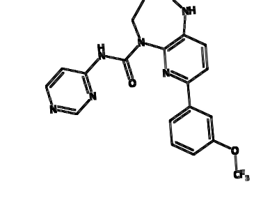 O=C(Nc1ccncn1)N1CCCNc2ccc(-c3cccc(OC(F)(F)F)c3)nc21